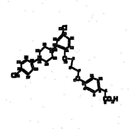 O=C(O)Cc1ccc(OCCCOc2ccc(Cl)cc2N2CCN(c3ccc(Cl)cc3)CC2)cc1